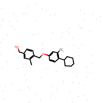 Cc1cc(CO)ccc1COc1ccc(C2CCCCC2)c(C(F)(F)F)c1